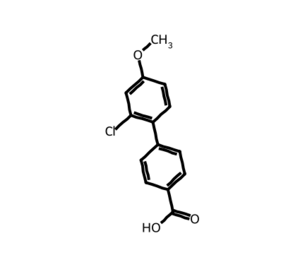 COc1ccc(-c2ccc(C(=O)O)cc2)c(Cl)c1